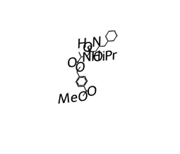 COC(=O)c1ccc(COC(=O)C(C)NC(=O)C(OC(C)C)C(N)CC2CCCCC2)cc1